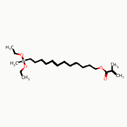 C=C(C)C(=O)OCCCCCCCCCCCC[Si](C)(OCC)OCC